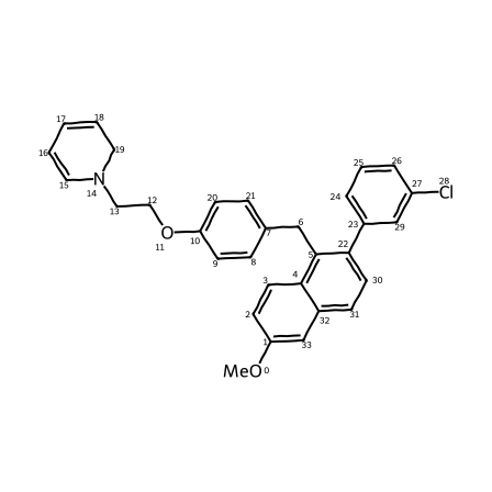 COc1ccc2c(Cc3ccc(OCCN4C=CC=CC4)cc3)c(-c3cccc(Cl)c3)ccc2c1